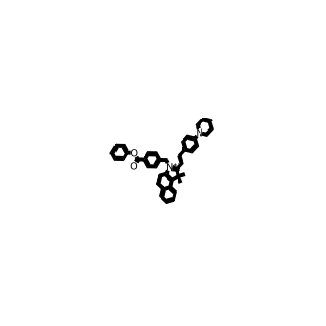 CC1(C)C(/C=C/c2ccc(N3CCCCC3)cc2)=[N+](Cc2ccc(C(=O)Oc3ccccc3)cc2)c2ccc3ccccc3c21